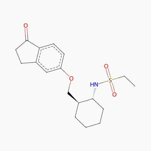 CCS(=O)(=O)N[C@@H]1CCCC[C@H]1COc1ccc2c(c1)CCC2=O